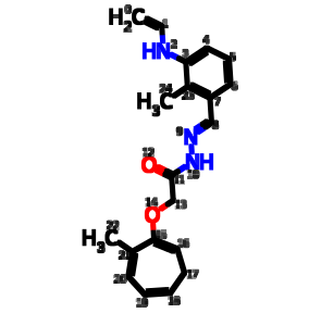 C=CNc1cccc(/C=N/NC(=O)COC2=CCC=CC=C2C)c1C